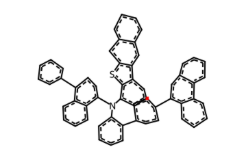 c1ccc(-c2ccc(N(c3ccccc3-c3ccc(-c4cc5ccccc5c5ccccc45)cc3)c3cccc4c3sc3cc5ccccc5cc34)c3ccccc23)cc1